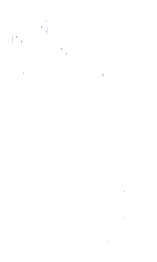 c1cc(OC2CCCCC2)cc(Sc2c[nH]nn2)c1